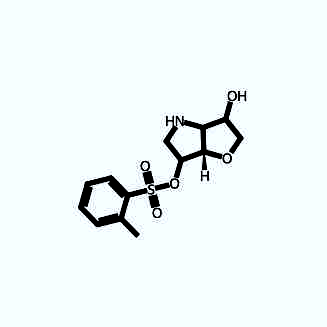 Cc1ccccc1S(=O)(=O)OC1CNC2C(O)CO[C@H]12